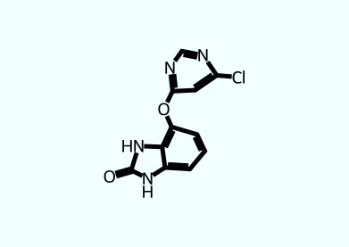 O=c1[nH]c2cccc(Oc3cc(Cl)ncn3)c2[nH]1